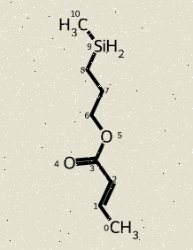 CC=CC(=O)OCCC[SiH2]C